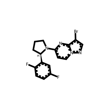 Fc1ccc(F)c([C@H]2CCCN2c2ccn3ncc(Br)c3n2)c1